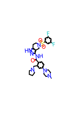 CN1CCN(c2ccc(C(=O)Nc3n[nH]c4c3CN(S(=O)(=O)c3cc(F)cc(F)c3)CC4)c(CN3CCCC3)c2)CC1